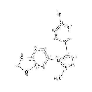 Cc1[c]cc(-c2ccc(Br)cc2)n1-c1ccc2c(c1)OCO2